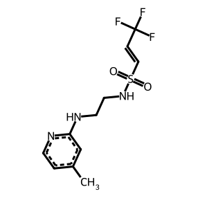 Cc1ccnc(NCCNS(=O)(=O)/C=C/C(F)(F)F)c1